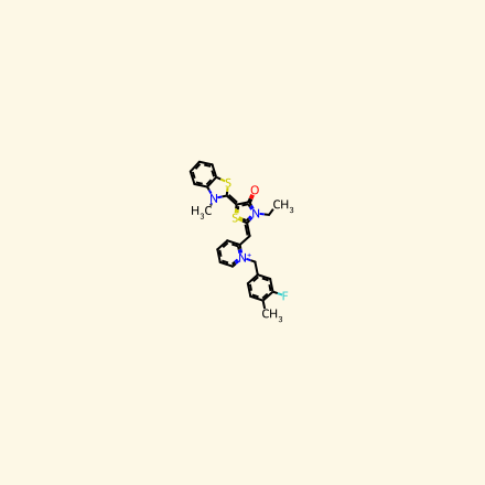 CCn1c(=O)/c(=C2\Sc3ccccc3N2C)s/c1=C\c1cccc[n+]1Cc1ccc(C)c(F)c1